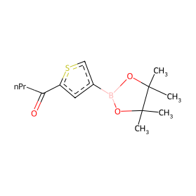 CCCC(=O)c1cc(B2OC(C)(C)C(C)(C)O2)cs1